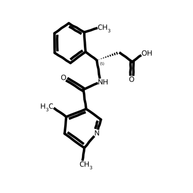 Cc1cc(C)c(C(=O)N[C@@H](CC(=O)O)c2ccccc2C)cn1